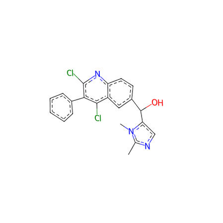 Cc1ncc(C(O)c2ccc3nc(Cl)c(-c4ccccc4)c(Cl)c3c2)n1C